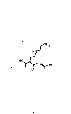 CC(=O)O.CC(O)N(CCNCCN)C(C)O